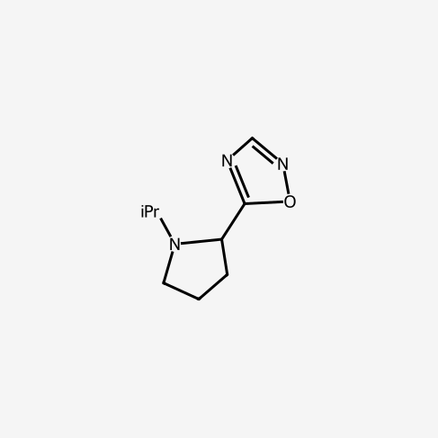 CC(C)N1CCCC1c1ncno1